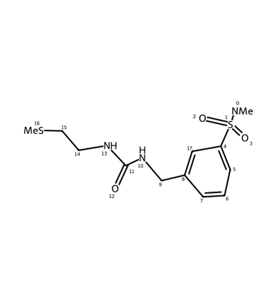 CNS(=O)(=O)c1cccc(CNC(=O)NCCSC)c1